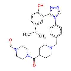 CC(C)c1ccc(O)c(-c2nncn2-c2ccc(CN3CCC(C(=O)N4CCN(C=O)CC4)CC3)cc2)c1